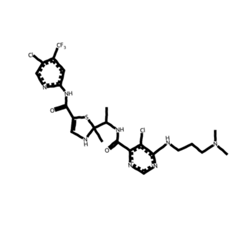 CC(NC(=O)c1ncnc(NCCCN(C)C)c1Cl)C1(C)NC=C(C(=O)Nc2cc(C(F)(F)F)c(Cl)cn2)S1